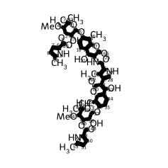 COC1C(OC(=O)c2ccc(C)[nH]2)C(O)C(Oc2ccc3c(O)c(NC(=O)c4[nH]cc(-c5c(O)c6ccc(OC7OC(C)(C)C(OC)C(OC(=O)c8ccc(C)[nH]8)C7O)c(C)c6oc5=O)c4C)c(=O)oc3c2C)OC1(C)C